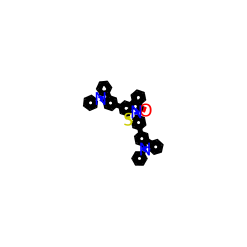 O=c1c2ccccc2c2cc(-c3ccc4c(c3)C3C=CC=CC3N4c3ccccc3)cc3c2n1-c1ccc(-c2ccc4c(c2)c2ccccc2n4-c2ccccc2)cc1S3